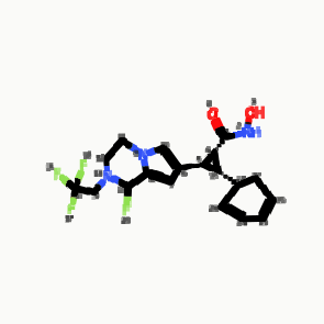 O=C(NO)[C@H]1[C@H](c2cc3n(c2)CCN(CC(F)(F)F)C3F)[C@H]1C1C=CC=CC1